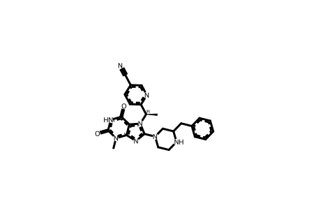 C[C@H](c1ccc(C#N)cn1)n1c(N2CCNC(Cc3ccccc3)C2)nc2c1c(=O)[nH]c(=O)n2C